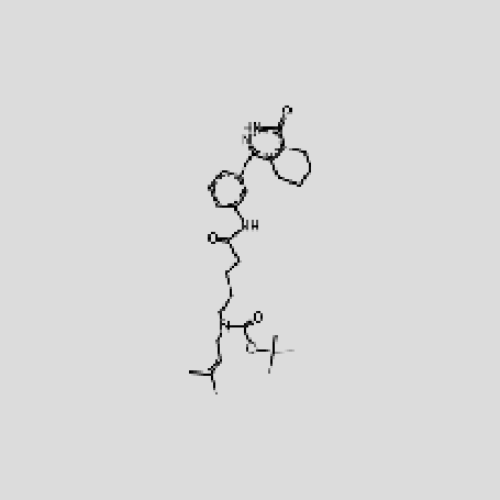 CC(C)=CCN(CCCCC(=O)Nc1cccc(-c2n[nH]c(=O)c3c2CCCC3)c1)C(=O)OC(C)(C)C